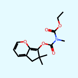 CCOC(=O)N(C)C(=O)OC1=C2OC=CC=C2CC1(C)C